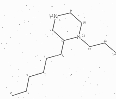 CCCCC[CH]C1CNCCN1CCC